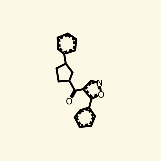 O=C(c1cnoc1-c1ccccc1)C1CCC(c2ccccc2)C1